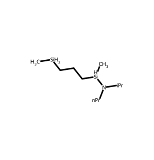 CCCN(C(C)C)[SiH](C)CCC[SiH2]C